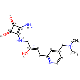 CN(C)Cc1ccnc(C/C=C(\O)CNc2c(N)c(=O)c2=O)c1